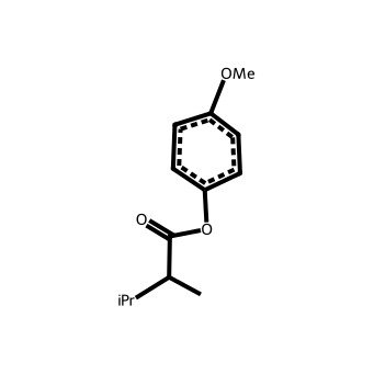 COc1ccc(OC(=O)C(C)C(C)C)cc1